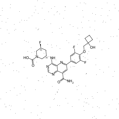 NC(=O)c1cc(-c2cc(F)c(OCC3(O)CCC3)c(F)c2)nc2c(N[C@H]3C[C@H](F)CN(C(=O)O)C3)ncnc12